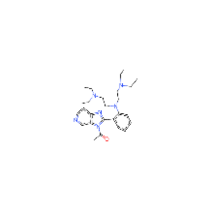 CCN(CC)CCN(CCN(CC)CC)c1ccccc1-c1nc2ccncc2n1C(C)=O